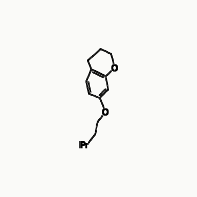 CC(C)CCOc1ccc2c(c1)OCCC2